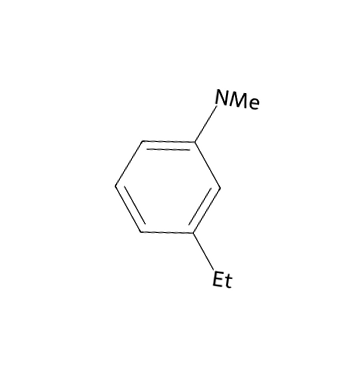 [CH2]Cc1cccc(NC)c1